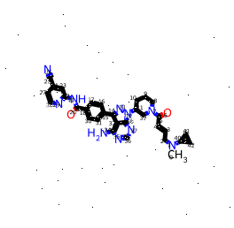 CN(CC=CC(=O)N1CCCC(n2nc(-c3ccc(C(=O)Nc4cc(C#N)ccn4)cc3)c3c(N)ncnc32)C1)C1CC1